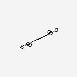 C=COCCCCOC(=O)CCCCCCCCCCCCCCCCCCC(=O)OCCCCOC=C